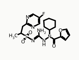 CC(Cc1ncc(F)cn1)S(=O)(=O)N=C(N)NN(C(=O)c1ccco1)C1CCCCC1